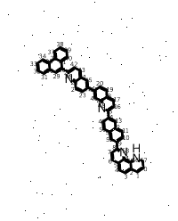 C1=Cc2ccc3ccc(-c4ccc5cc(-c6ccc7ccc(-c8ccc9nc(-c%10cc%11ccccc%11c%11ccccc%10%11)ccc9c8)cc7n6)ccc5c4)nc3c2NC1